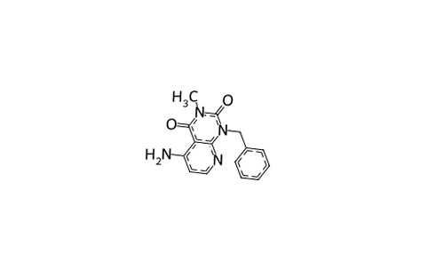 Cn1c(=O)c2c(N)ccnc2n(Cc2ccccc2)c1=O